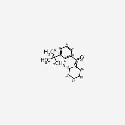 CC(C)(C)c1cccc(C(=O)N2CCCCC2)c1